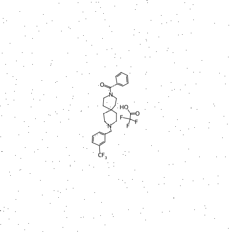 O=C(O)C(F)(F)F.O=C(c1ccccc1)N1CCC2(CCN(Cc3cccc(C(F)(F)F)c3)CC2)CC1